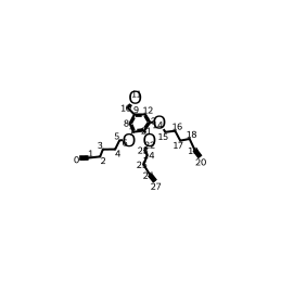 C#CCCCCOc1cc(C=O)cc(OCCCCC#C)c1OCCCC#C